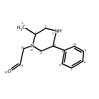 CC1CNC(c2ccccc2)CN1CC=O